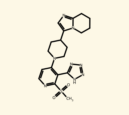 CS(=O)(=O)c1nccc(N2CCC(c3cnc4n3CCCC4)CC2)c1-c1nnn[nH]1